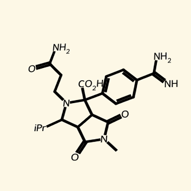 CC(C)C1C2C(=O)N(C)C(=O)C2C(C(=O)O)(c2ccc(C(=N)N)cc2)N1CCC(N)=O